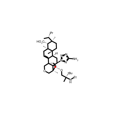 CCN[C@@](C)(CO[C@H]1[C@H](n2nnc(N)n2)C[C@@]23COC[C@@]1(C)[C@@H]2CC[C@H]1C3=CC[C@@]2(C)[C@H](C(=O)O)[C@@](C)([C@H](C)C(C)C)CC[C@]12C)C(C)(C)C